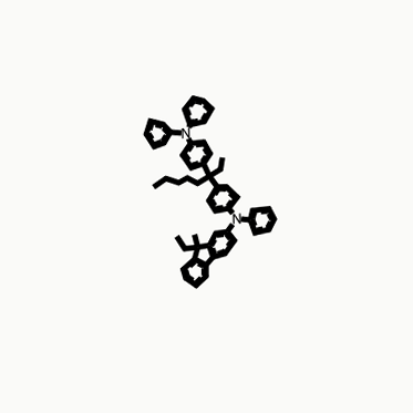 CCCCCC(CC)(c1ccc(N(c2ccccc2)c2ccccc2)cc1)c1ccc(N(c2ccccc2)c2ccc3c(c2)C(C)(CC)c2ccccc2-3)cc1